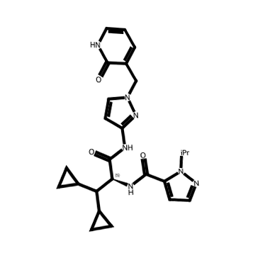 CC(C)n1nccc1C(=O)N[C@H](C(=O)Nc1ccn(Cc2ccc[nH]c2=O)n1)C(C1CC1)C1CC1